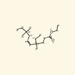 CCOC(=O)CCC(C)(/C=C\CC(C)(C)CC)CC